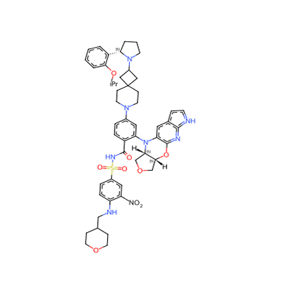 CC(C)Oc1ccccc1[C@@H]1CCCN1C1CC2(CCN(c3ccc(C(=O)NS(=O)(=O)c4ccc(NCC5CCOCC5)c([N+](=O)[O-])c4)c(N4c5cc6cc[nH]c6nc5O[C@@H]5COC[C@@H]54)c3)CC2)C1